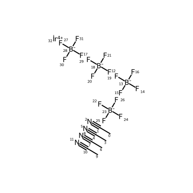 CC#N.CC#N.CC#N.CC#N.F[B-](F)(F)F.F[B-](F)(F)F.F[B-](F)(F)F.F[B-](F)(F)F.[Ir+4]